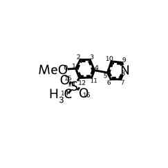 COc1ccc(-c2ccncc2)cc1S(C)(=O)=O